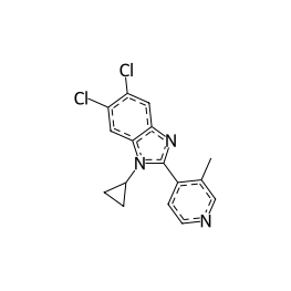 Cc1cnccc1-c1nc2cc(Cl)c(Cl)cc2n1C1CC1